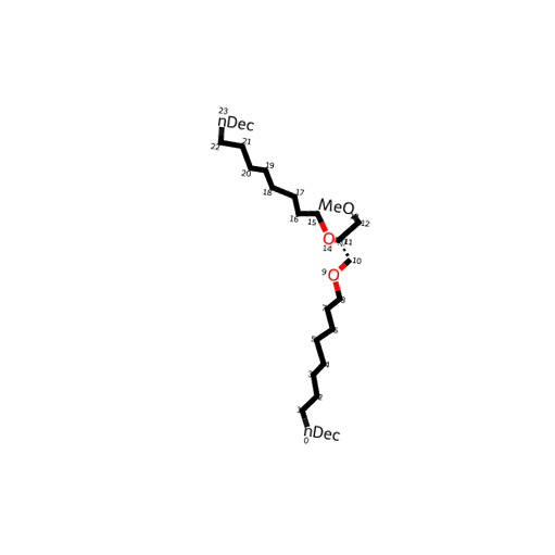 CCCCCCCCCCCCCCCCCCOC[C@@H](COC)OCCCCCCCCCCCCCCCCCC